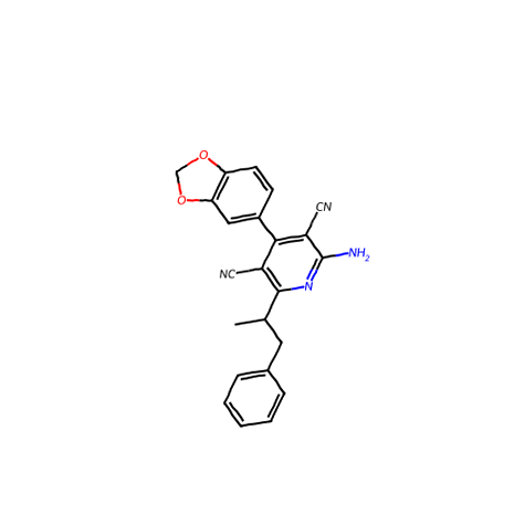 CC(Cc1ccccc1)c1nc(N)c(C#N)c(-c2ccc3c(c2)OCO3)c1C#N